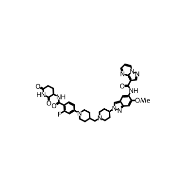 COc1cc2nn(C3CCN(CC4CCN(c5ccc(C(=O)NC6CCC(=O)NC6=O)c(F)c5)CC4)CC3)cc2cc1NC(=O)c1cnn2cccnc12